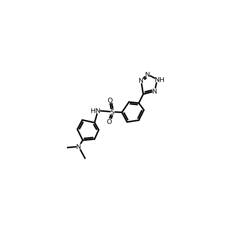 CN(C)c1ccc(NS(=O)(=O)c2cccc(-c3nn[nH]n3)c2)cc1